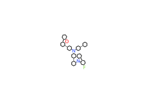 Fc1ccc2c3ccccc3n(-c3ccccc3-c3ccc(N(c4ccc(-c5ccccc5)cc4)c4ccc(-c5cccc6c5oc5ccccc56)cc4)cc3)c2c1